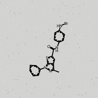 Cc1nn(-c2ccccc2)c2sc(C(=O)Nc3ccc(NBr)cc3)cc12